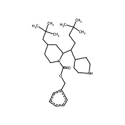 CC(C)(C)CCC(C1CCNCC1)C1CC(CC(C)(C)C)CCN1C(=O)OCc1ccccc1